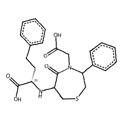 O=C(O)CN1C(=O)C(N[C@@H](CCc2ccccc2)C(=O)O)CSCC1c1ccccc1